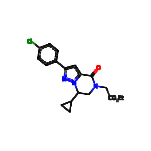 CCOC(=O)CN1CC(C2CC2)n2nc(-c3ccc(Cl)cc3)cc2C1=O